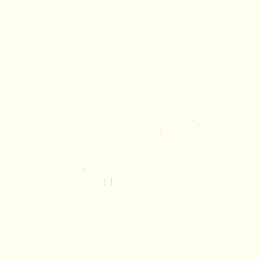 CC(C)(C)c1ccc(/C=C(\F)C23CC4CC(CC(C4)C2)C3)cc1